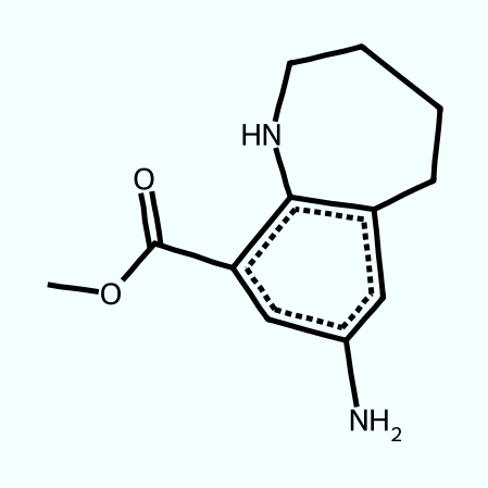 COC(=O)c1cc(N)cc2c1NCCCC2